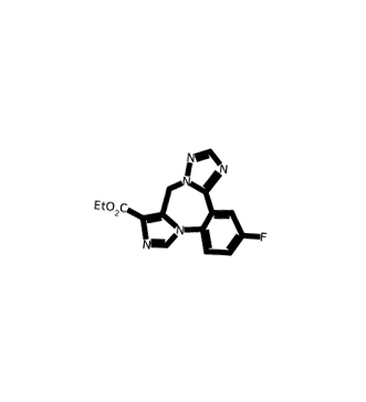 CCOC(=O)c1ncn2c1Cn1ncnc1-c1cc(F)ccc1-2